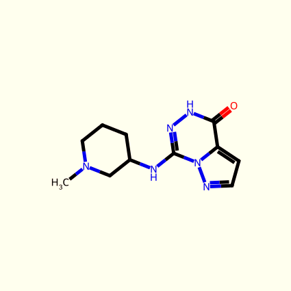 CN1CCCC(Nc2n[nH]c(=O)c3ccnn23)C1